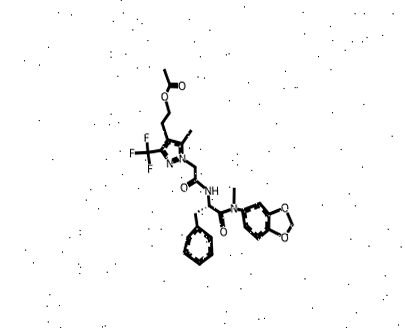 CC(=O)OCCc1c(C(F)(F)F)nn(CC(=O)N[C@@H](Cc2ccccc2)C(=O)N(C)c2ccc3c(c2)OCO3)c1C